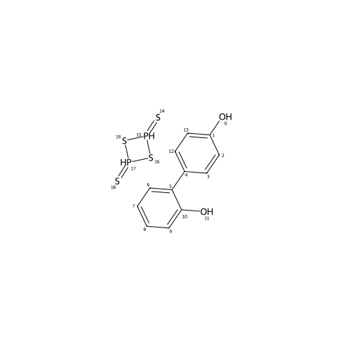 Oc1ccc(-c2ccccc2O)cc1.S=[PH]1S[PH](=S)S1